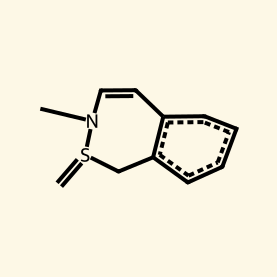 C=S1Cc2ccccc2C=CN1C